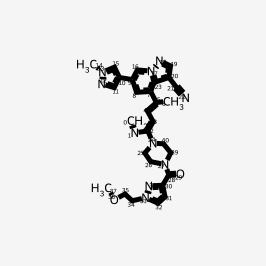 C=N/C(=C\C=C(/C)c1cc(-c2cnn(C)c2)cn2ncc(C#N)c12)N1CCN(C(=O)c2ccn(CCOC)n2)CC1